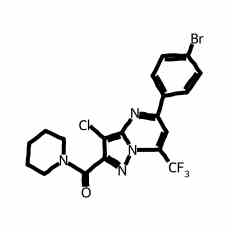 O=C(c1nn2c(C(F)(F)F)cc(-c3ccc(Br)cc3)nc2c1Cl)N1CCCCC1